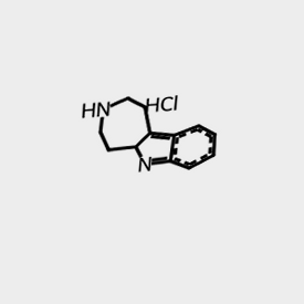 Cl.c1ccc2c(c1)=NC1CCNCCC=21